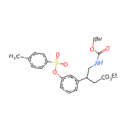 CCOC(=O)CC(CNC(=O)OC(C)(C)C)c1cccc(OS(=O)(=O)c2ccc(C)cc2)c1